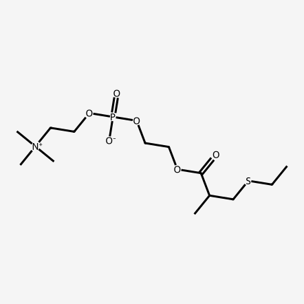 CCSCC(C)C(=O)OCCOP(=O)([O-])OCC[N+](C)(C)C